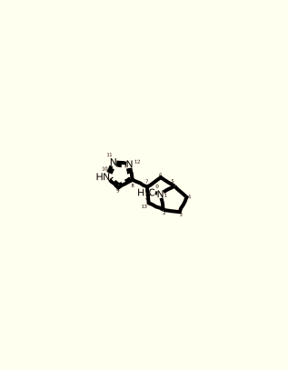 CN1C2CCC1CC(c1c[nH]nn1)C2